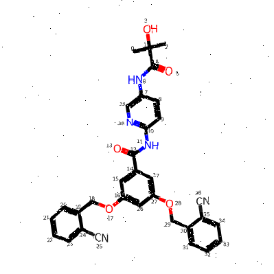 CC(C)(O)C(=O)Nc1ccc(NC(=O)c2cc(OCc3ccccc3C#N)cc(OCc3ccccc3C#N)c2)nc1